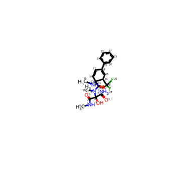 CNC(=O)C(O)(C(N)=O)N(C)C(=O)C1(NC)C=CC(c2ccccc2)=CC1C(F)(F)F